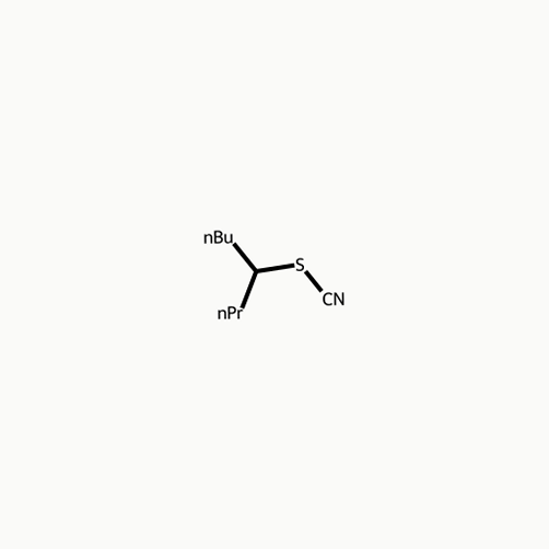 CCCCC(CCC)SC#N